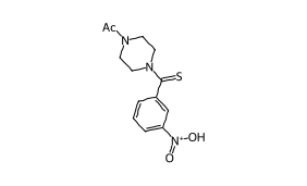 CC(=O)N1CCN(C(=S)c2cccc([N+](=O)O)c2)CC1